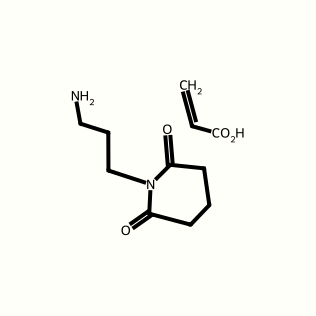 C=CC(=O)O.NCCCN1C(=O)CCCC1=O